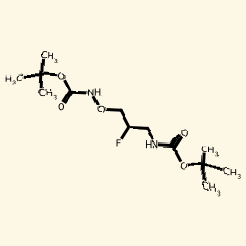 CC(C)(C)OC(=O)NCC(F)CONC(=O)OC(C)(C)C